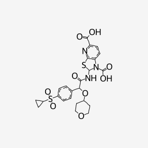 O=C(O)c1ccc2c(n1)SC(NC(=O)C(OC1CCOCC1)c1ccc(S(=O)(=O)C3CC3)cc1)N2C(=O)O